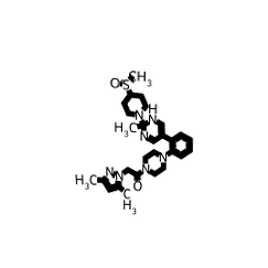 Cc1cc(C)n(CC(=O)N2CCN(c3ccccc3C3=CNC(C)(N4CCC([S+](C)[O-])CC4)N=C3)CC2)n1